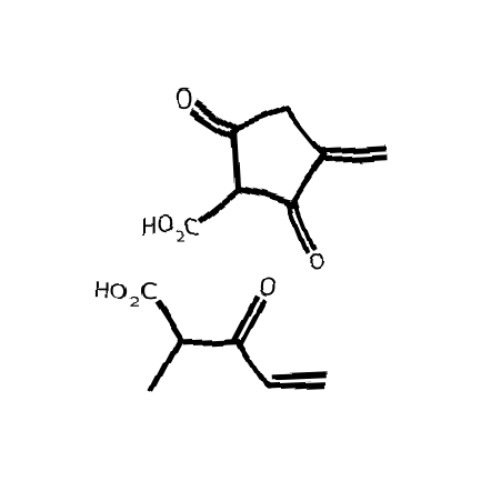 C=C1CC(=O)C(C(=O)O)C1=O.C=CC(=O)C(C)C(=O)O